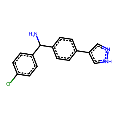 NC(c1ccc(Cl)cc1)c1ccc(-c2cn[nH]c2)cc1